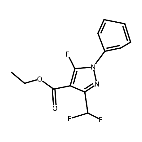 CCOC(=O)c1c(C(F)F)nn(-c2ccccc2)c1F